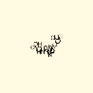 O=C(O)c1ccc(NC(=O)c2cnc3ccc(NCc4ccc(Cl)c(Cl)c4)nn23)cc1